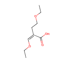 CCOC=C(CCOCC)C(=O)O